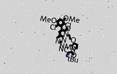 CNc1ncc2cc(-c3c(Cl)c(OC)cc(OC)c3Cl)c(=O)n(CCOC3CCN(C(=O)/C(C#N)=C\C(C)(C)C)C3)c2n1